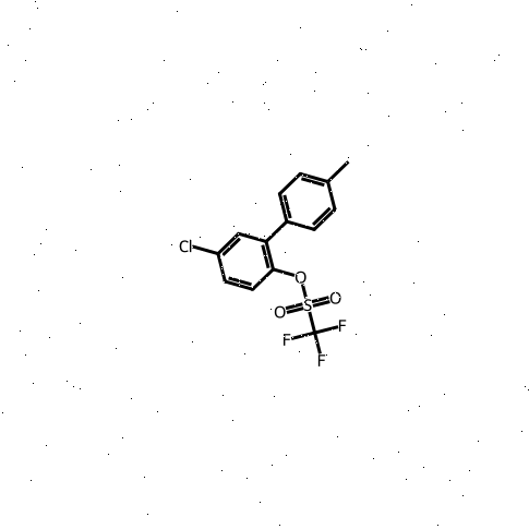 Cc1ccc(-c2cc(Cl)ccc2OS(=O)(=O)C(F)(F)F)cc1